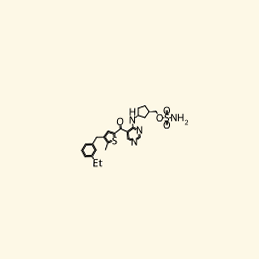 CCc1cccc(Cc2cc(C(=O)c3cncnc3N[C@H]3CC[C@@H](COS(N)(=O)=O)C3)sc2C)c1